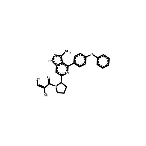 CC(C)/C=C(/C#N)C(=O)N1CCC[C@@H]1c1cc2[nH]nc(N)c2c(-c2ccc(Oc3ccccc3)cc2)n1